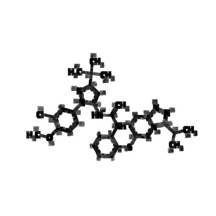 C=C(Nc1ccccc1Sc1ccc2nnc(C(C)C)n2c1)Nc1cc(C(C)(C)C)nn1-c1ccc(OC)c(Cl)c1